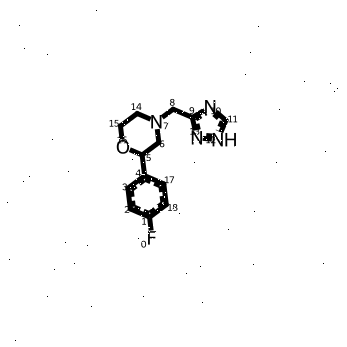 Fc1ccc(C2CN(Cc3nc[nH]n3)CCO2)cc1